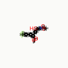 CCOC(=O)c1cc(-c2ccc(C3(O)CC4(CN(C(=O)OC(C)(C)C)C4)C3)cc2)c2ccc(-c3ccc(C(F)(F)F)cc3)cc2c1